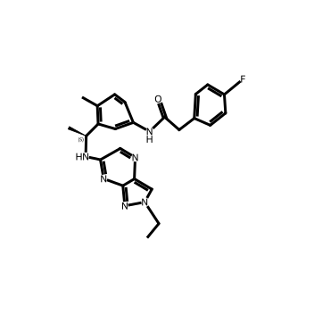 CCn1cc2ncc(N[C@@H](C)c3cc(NC(=O)Cc4ccc(F)cc4)ccc3C)nc2n1